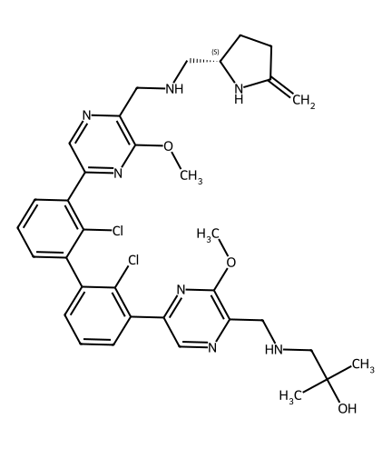 C=C1CC[C@@H](CNCc2ncc(-c3cccc(-c4cccc(-c5cnc(CNCC(C)(C)O)c(OC)n5)c4Cl)c3Cl)nc2OC)N1